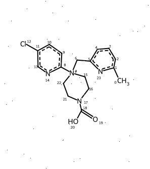 Cc1cccc(C[N+]2(c3ccc(Cl)cn3)CCN(C(=O)O)CC2)n1